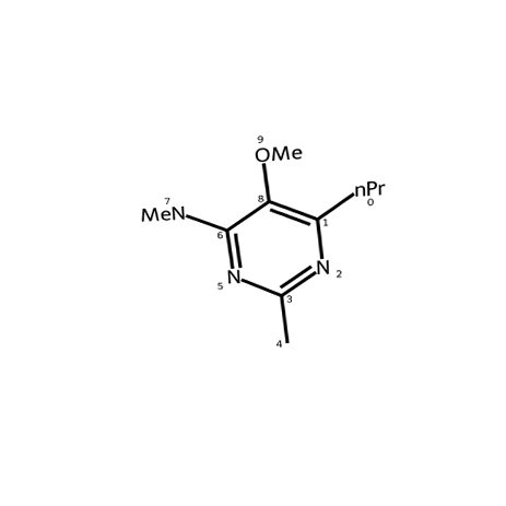 CCCc1nc(C)nc(NC)c1OC